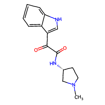 CN1CC[C@@H](NC(=O)C(=O)c2c[nH]c3ccccc23)C1